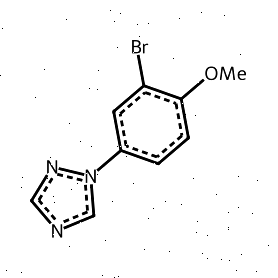 COc1ccc(-n2cncn2)cc1Br